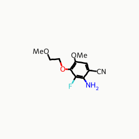 COCCOc1c(OC)cc(C#N)c(N)c1F